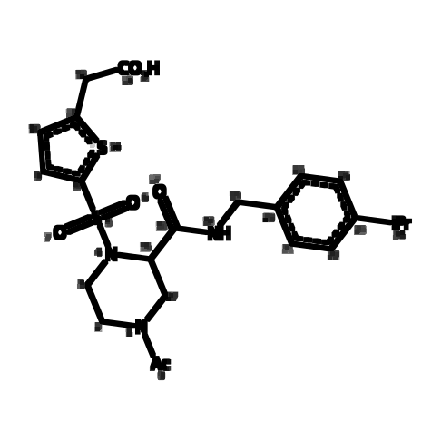 CC(=O)N1CCN(S(=O)(=O)c2ccc(CC(=O)O)s2)C(C(=O)NCc2ccc(C(C)C)cc2)C1